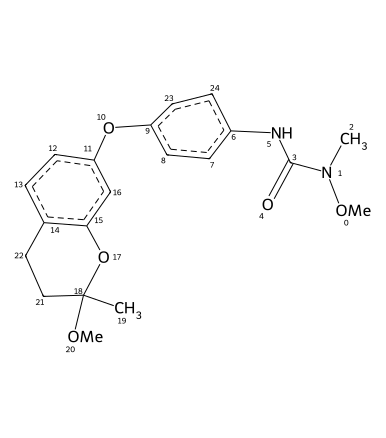 CON(C)C(=O)Nc1ccc(Oc2ccc3c(c2)OC(C)(OC)CC3)cc1